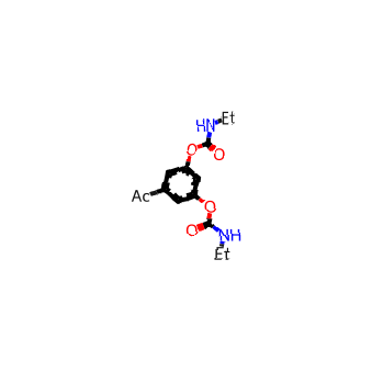 CCNC(=O)Oc1cc(OC(=O)NCC)cc(C(C)=O)c1